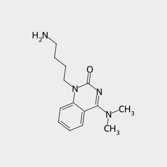 CN(C)c1nc(=O)n(CCCCN)c2ccccc12